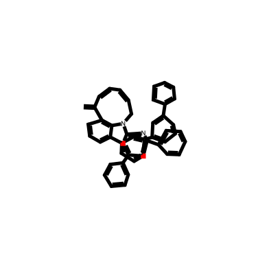 C=C1/C=C\C=C/CN(c2nc(-c3ccccc3)nc(-c3ccccc3)n2)c2c1cccc2-c1cccc(-c2cccc(-c3ccccc3)c2)c1